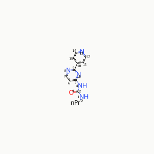 CCCNC(=O)Nc1ccnc(-c2ccncc2)n1